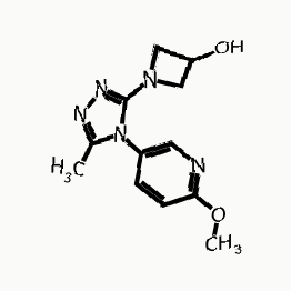 COc1ccc(-n2c(C)nnc2N2CC(O)C2)cn1